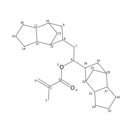 C=C(C)C(=O)OC(CC1CC2CC1C1CCCC21)C1CC2CC1C1CCCC21